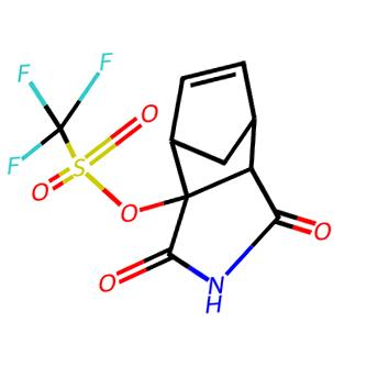 O=C1NC(=O)C2(OS(=O)(=O)C(F)(F)F)C3C=CC(C3)C12